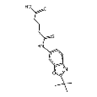 CC(C)(C)c1nc2ccc(NC(=S)SCCC(=O)O)cc2o1